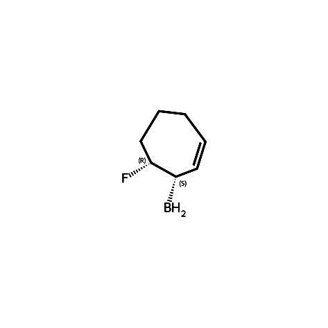 B[C@H]1C=CCCC[C@H]1F